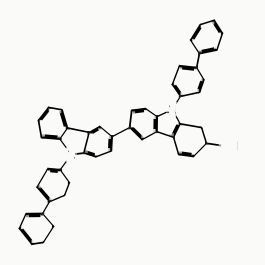 CC1C=Cc2c(n(-c3ccc(-c4ccccc4)cc3)c3ccc(-c4ccc5c(c4)c4ccccc4n5C4=CC=C(C5=CC=CCC5)CC4)cc23)C1